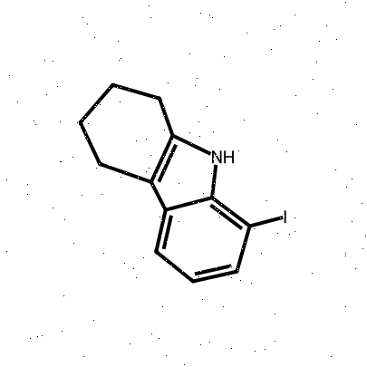 Ic1cccc2c3c([nH]c12)CCCC3